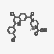 C[C@@H]1CN(C(=O)c2ccc3c(Cl)cc(-c4cccc(C=O)c4)nc3c2)CCN1C(=O)O